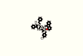 CC(C(=O)N[C@H](Cc1c[nH]c2ccccc12)C(=O)NCCc1ccccc1)N(Cc1ccc(Cl)cc1)C(=O)OCC1c2ccccc2-c2ccccc21